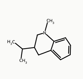 CC(C)C1Cc2ccccc2N(C)C1